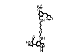 N#Cc1[nH]ncc1-c1cc(NCCOCCCCNCc2cc(Cc3cocn3)cc(OC(F)(F)F)c2)c2cn[nH]c2c1